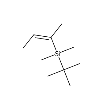 CC=C(C)[Si](C)(C)C(C)(C)C